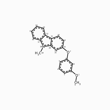 COc1cccc(Oc2ccc3c4ccccc4n(C)c3n2)c1